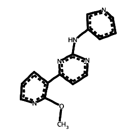 COc1ncccc1-c1ccnc(Nc2cccnc2)n1